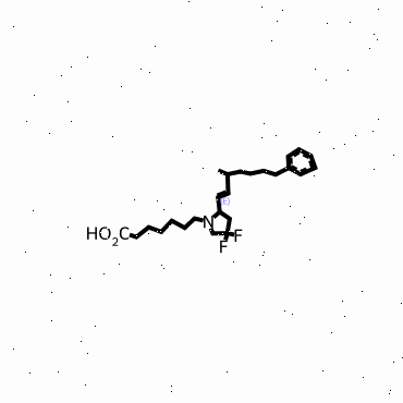 CC(/C=C/C1CC(F)(F)CN1CCCCCCC(=O)O)CCCCc1ccccc1